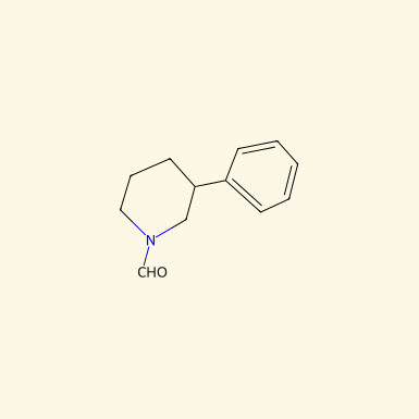 O=CN1CCCC(c2ccccc2)C1